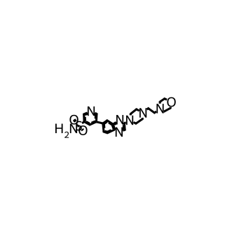 NS(=O)(=O)c1cncc(-c2ccc3ncc(N4CCN(CCN5CCOCC5)CC4)nc3c2)c1